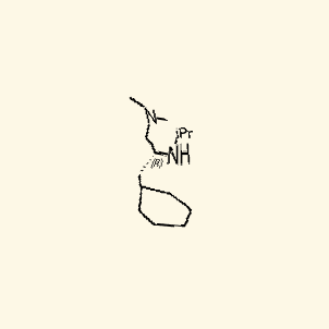 CC(C)N[C@H](CC1CCCCC1)CN(C)C